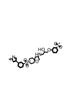 Cn1cc(-c2cccc(S(=O)(=O)N3CCC4(CC3)CC(NCC(O)COc3cccc(S(C)(=O)=O)c3)CO4)c2)cn1